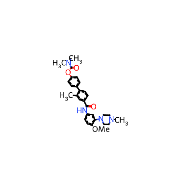 COc1ccc(NC(=O)c2ccc(-c3ccc(OC(=O)N(C)C)cc3)c(C)c2)cc1N1CCN(C)CC1